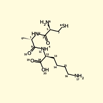 C[C@H](NC(=O)[C@@H](N)CS)C(=O)N[C@@H](CCCCN)C(=O)O